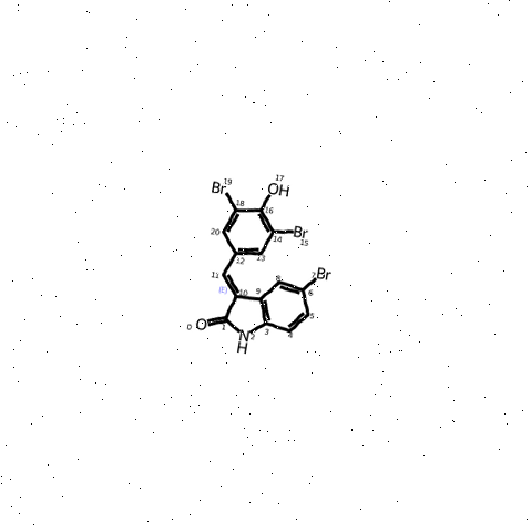 O=C1Nc2ccc(Br)cc2/C1=C\c1cc(Br)c(O)c(Br)c1